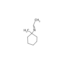 C/C=N/C1(C)CCCCC1